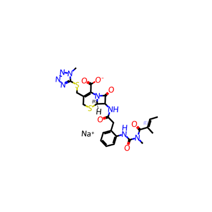 C/C=C(\C)C(=O)N(C)C(=O)Nc1ccccc1CC(=O)NC1C(=O)N2C(C(=O)[O-])=C(CSc3nnnn3C)CS[C@H]12.[Na+]